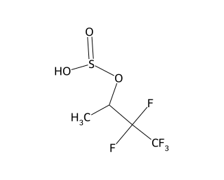 CC(OS(=O)O)C(F)(F)C(F)(F)F